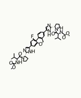 COC(=O)NC(C(=O)N1CCC[C@H]1c1ncc(-c2cc(F)c3c(c2)OCc2cc(-c4cnc([C@@H]5CCCN5C(=O)[C@@H](NC(=O)OC)C(C)C)[nH]4)ccc2-3)[nH]1)C(C)C